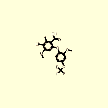 COc1cc(OC(F)(F)F)ccc1Oc1cc(OC)c(Cl)c(C)c1C(=O)O